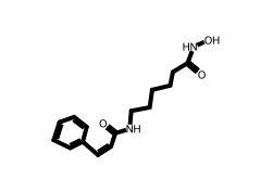 O=C(/C=C\c1ccccc1)NCCCCCC(=O)NO